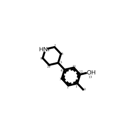 Cc1ccc(C2CCNCC2)cc1O